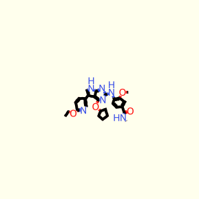 CCOc1ccc(-c2c[nH]c3nc(Nc4ccc(C(=O)NC)cc4OC)nc(OC4CCCC4)c23)cn1